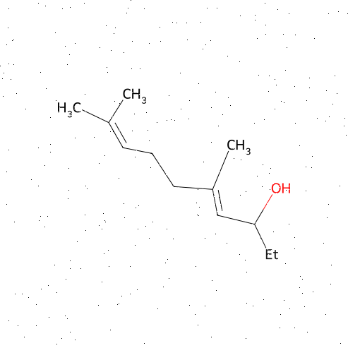 CCC(O)/C=C(\C)CCC=C(C)C